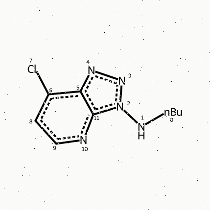 CCCCNn1nnc2c(Cl)ccnc21